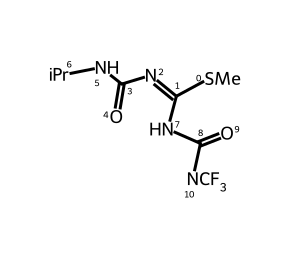 CSC(=NC(=O)NC(C)C)NC(=O)NC(F)(F)F